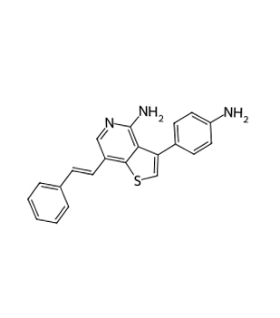 Nc1ccc(-c2csc3c(C=Cc4ccccc4)cnc(N)c23)cc1